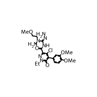 CCn1nc(C(=O)N/C(=N/N)N(N)CCOC)c(Cl)c(-c2ccc(OC)c(OC)c2)c1=O